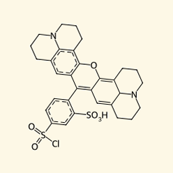 O=S(=O)(O)c1cc(S(=O)(=O)Cl)ccc1C1=C2C=C3CCCN4CCCC(=C2Oc2c1cc1c5c2CCCN5CCC1)C34